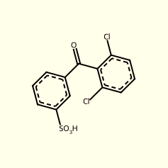 O=C(c1cccc(S(=O)(=O)O)c1)c1c(Cl)cccc1Cl